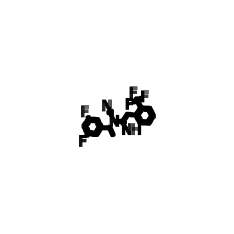 CC(c1cc(F)cc(F)c1)N(C#N)C(=N)Cc1ccccc1C(F)(F)F